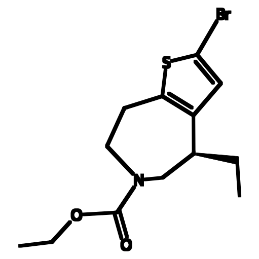 CCOC(=O)N1CCc2sc(Br)cc2[C@@H](CC)C1